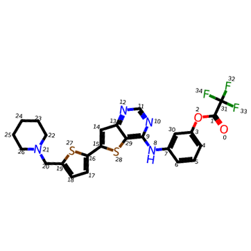 O=C(Oc1cccc(Nc2ncnc3cc(-c4ccc(CN5CCCCC5)s4)sc23)c1)C(F)(F)F